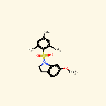 COc1cc(C)c(S(=O)(=O)N2CCc3ccc(OC(=O)O)cc32)c(C)c1